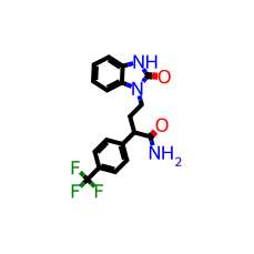 NC(=O)C(CCn1c(=O)[nH]c2ccccc21)c1ccc(C(F)(F)F)cc1